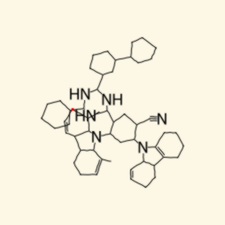 CC1=CCCC2C3C=CCC(C)C3N(C3CC(N4C5=C(CCCC5)C5CCC=CC54)C(C#N)CC3C3NC(C4CCCCC4)NC(C4CCCC(C5CCCCC5)C4)N3)C12